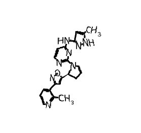 Cc1cc(Nc2ccnc(N3CCC[C@H]3c3cc(-c4cccnc4C)no3)n2)n[nH]1